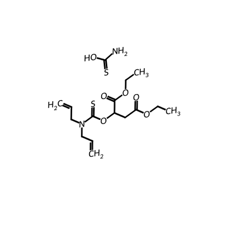 C=CCN(CC=C)C(=S)OC(CC(=O)OCC)C(=O)OCC.NC(O)=S